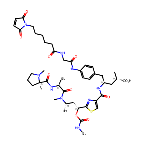 CCNC(=O)O[C@H](C[C@H](C(C)C)N(C)C(=O)[C@@H](NC(=O)[C@@]1(C)CCCN1C)C(C)CC)c1nc(C(=O)N[C@@H](Cc2ccc(NC(=O)CNC(=O)CCCCCN3C(=O)C=CC3=O)cc2)C[C@H](C)C(=O)O)cs1